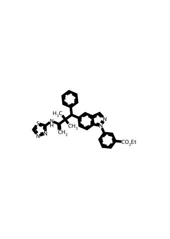 C=C(Nc1nncs1)C(C)(C)C(c1ccccc1)c1ccc2c(cnn2-c2cccc(C(=O)OCC)c2)c1